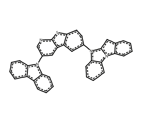 c1ccc2c(c1)cc1n(-c3ccc4sc5ncc(-n6c7ccccc7c7ccccc76)cc5c4c3)c3ccccc3n21